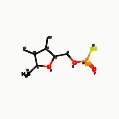 BC1OC(CO[PH](=O)S)C(C)C1C